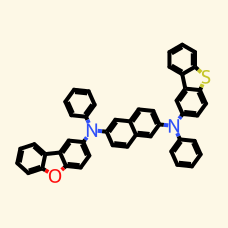 c1ccc(N(c2ccc3cc(N(c4ccccc4)c4ccc5sc6ccccc6c5c4)ccc3c2)c2ccc3oc4ccccc4c3c2)cc1